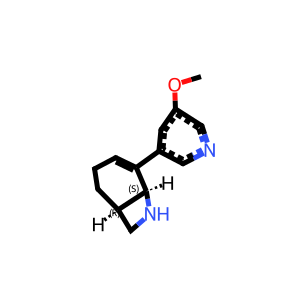 COc1cncc(C2=CCC[C@@H]3CN[C@H]23)c1